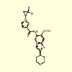 CCOc1cc2nc(C3CCOCC3)cn2cc1NC(=O)c1ccn(C2CC2(F)F)n1